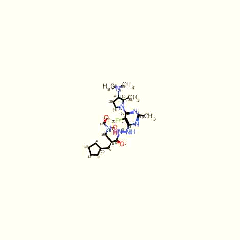 Cc1nc(NNC(=O)[C@@H](CC2CCCC2)CN(O)C=O)c(F)c(N2CC[C@@H](N(C)C)[C@H]2C)n1